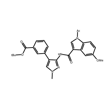 COc1ccc2c(c1)c(C(=O)Nc1nn(C)cc1-c1cccc(C(=O)OC(C)(C)C)c1)cn2C(C)=O